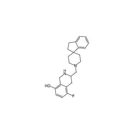 Oc1ccc(F)c2c1CNC(CN1CCC3(CCc4ccccc43)CC1)C2